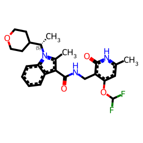 Cc1cc(OC(F)F)c(CNC(=O)c2c(C)n([C@@H](C)C3CCOCC3)c3ccccc23)c(=O)[nH]1